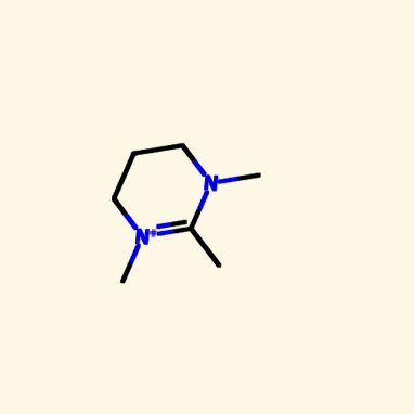 CC1=[N+](C)CCCN1C